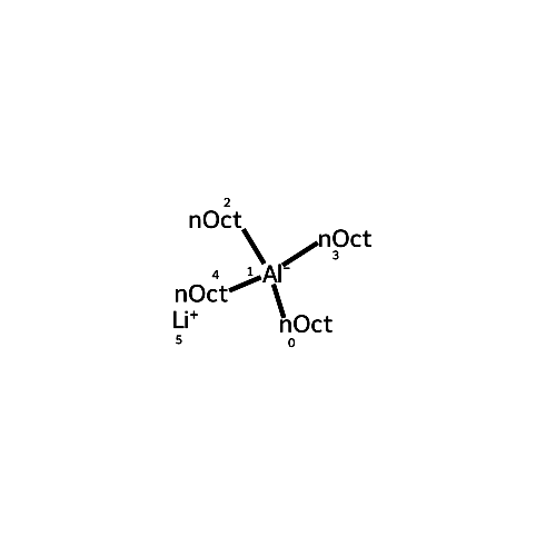 CCCCCCC[CH2][Al-]([CH2]CCCCCCC)([CH2]CCCCCCC)[CH2]CCCCCCC.[Li+]